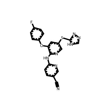 N#Cc1ccc(Nc2ncc(Sc3nnc[nH]3)cc2Oc2ccc(F)cc2)nc1